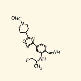 CC(CF)Nc1cc(-c2noc(C3CCN(C=O)CC3)n2)ccc1C=N